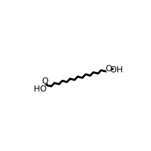 O=C(O)CCCCCCCCCCCCCCCOO